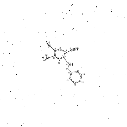 N#Cc1cc(C#N)c(NCc2ccccc2)nc1N